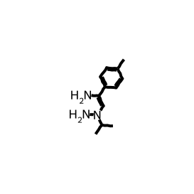 Cc1ccc(/C(N)=C/N(N)C(C)C)cc1